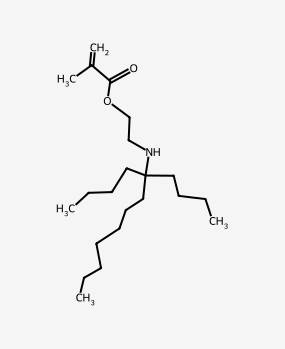 C=C(C)C(=O)OCCNC(CCCC)(CCCC)CCCCCCC